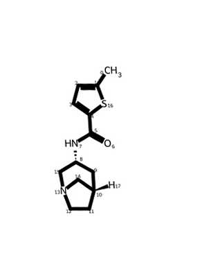 Cc1ccc(C(=O)N[C@@H]2C[C@@H]3CCN(C3)C2)s1